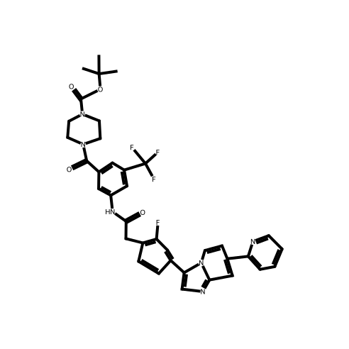 CC(C)(C)OC(=O)N1CCN(C(=O)c2cc(NC(=O)Cc3ccc(-c4cnc5cc(-c6ccccn6)ccn45)cc3F)cc(C(F)(F)F)c2)CC1